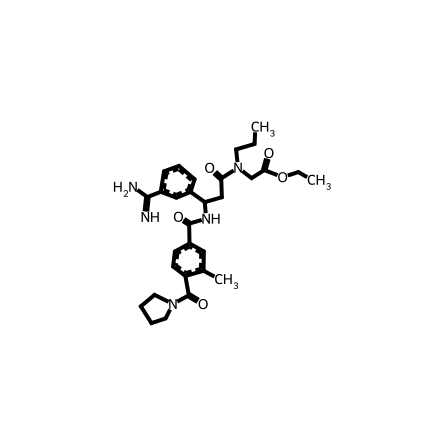 CCCN(CC(=O)OCC)C(=O)CC(NC(=O)c1ccc(C(=O)N2CCCC2)c(C)c1)c1cccc(C(=N)N)c1